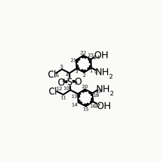 Nc1cc(C(CCl)S(=O)(=O)C(CCl)c2ccc(O)c(N)c2)ccc1O